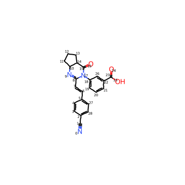 N#Cc1ccc(/C=C/C2=NC3CCCC3C(=O)N2c2cccc(C(=O)O)c2)cc1